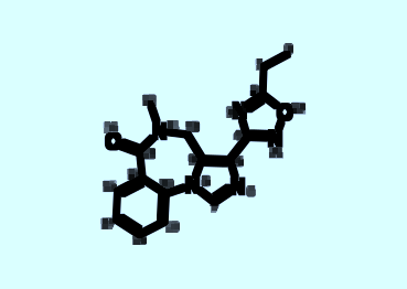 CCc1nc(-c2ncn3c2CN(C)C(=O)c2ccccc2-3)no1